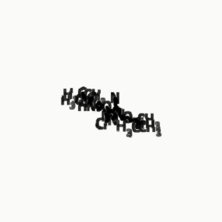 CC(C)(C)OC(=O)NC1CC(Oc2nc(Cl)nc3c2c(C#N)cn3COCC[Si](C)(C)C)C1